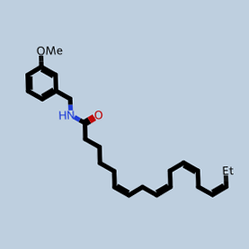 CC/C=C\C/C=C\C/C=C\C/C=C\CCCCC(=O)NCc1cccc(OC)c1